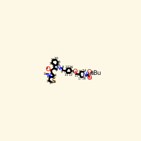 Cn1c(C(=O)c2cn(CCc3ccc(OCC4CCN(C(=O)OC(C)(C)C)CC4)cc3)c3ccccc23)cc2sccc21